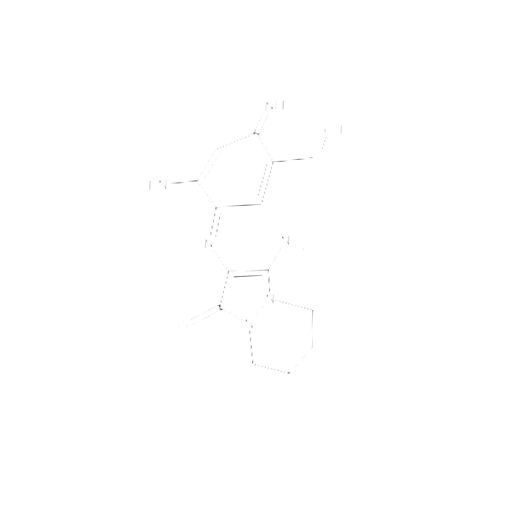 COC1=CC(=Nc2c(N)n3n(c2=O)CCCC3)C(N)=CC1=N